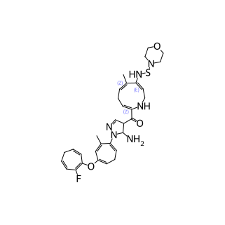 CC1=CC(OC2=C(F)C=CCC=C2)=CCC=C1N1N=CC(C(=O)/C2=C/C/C=C(C)\C(NSN3CCOCC3)=C/CN2)C1N